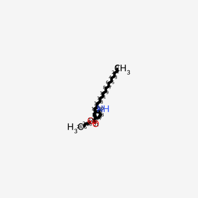 CCCCCCCCCCCCCCCc1cc2cc(C(=O)OCCCC)ccc2[nH]1